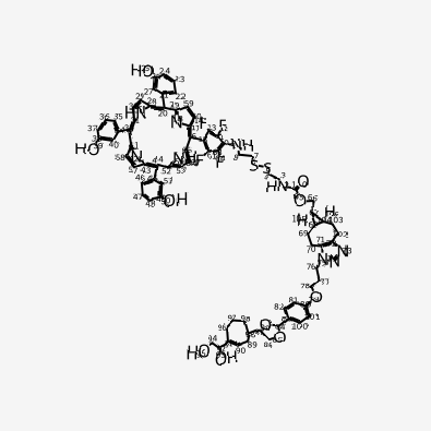 O=C(NCCSSCCNc1c(F)c(F)c(-c2c3nc(c(-c4cccc(O)c4)c4ccc([nH]4)c(-c4cccc(O)c4)c4nc(c(-c5cccc(O)c5)c5ccc2[nH]5)C=C4)C=C3)c(F)c1F)OC[C@@H]1[C@@H]2CCc3c(nnn3CCCOc3ccc(C4OCC(C5CC=C(C(O)CO)CCC5)O4)cc3)CC[C@@H]21